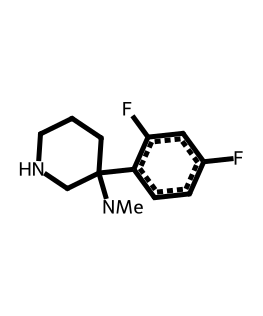 CNC1(c2ccc(F)cc2F)CCCNC1